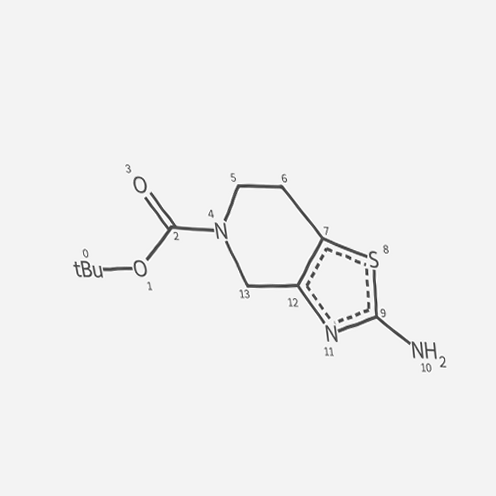 CC(C)(C)OC(=O)N1CCc2sc(N)nc2C1